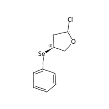 Cl[C]1C[C@H]([Se]c2ccccc2)CO1